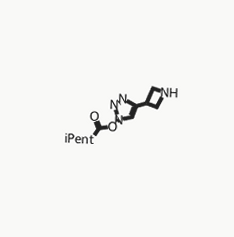 CCCC(C)C(=O)On1cc(C2CNC2)nn1